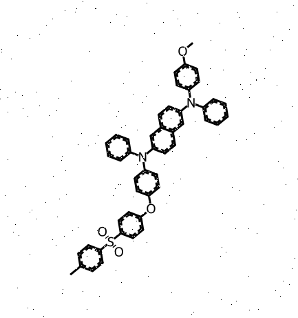 COc1ccc(N(c2ccccc2)c2ccc3cc(N(c4ccccc4)c4ccc(Oc5ccc(S(=O)(=O)c6ccc(C)cc6)cc5)cc4)ccc3c2)cc1